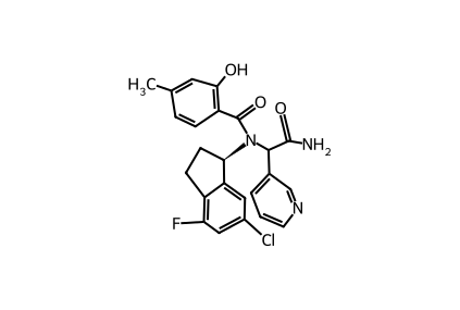 Cc1ccc(C(=O)N(C(C(N)=O)c2cccnc2)[C@@H]2CCc3c(F)cc(Cl)cc32)c(O)c1